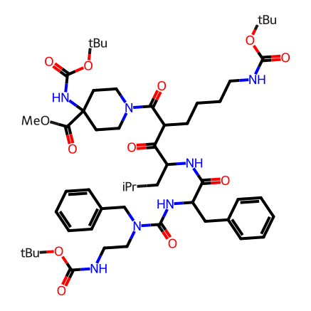 COC(=O)C1(NC(=O)OC(C)(C)C)CCN(C(=O)C(CCCCNC(=O)OC(C)(C)C)C(=O)C(CC(C)C)NC(=O)C(Cc2ccccc2)NC(=O)N(CCNC(=O)OC(C)(C)C)Cc2ccccc2)CC1